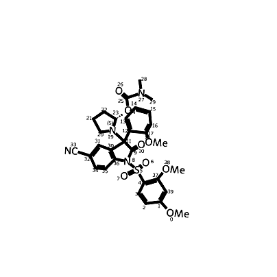 COc1ccc(S(=O)(=O)N2C(=O)C(c3ccccc3OC)(N3CCC[C@@H]3OC(=O)N(C)C)c3cc(C#N)ccc32)c(OC)c1